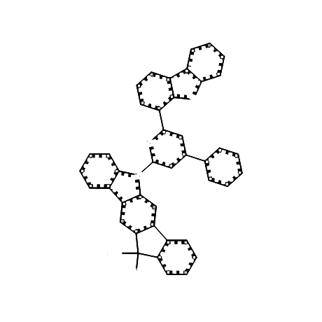 CC1(C)c2ccccc2-c2cc3c(cc21)c1ccccc1n3-c1cc(-c2ccccc2)cc(-c2cccc3c2oc2ccccc23)n1